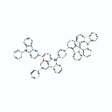 c1ccc(-c2cccc(-c3ccccc3N(c3ccc(-c4ccc5c(c4)c4ccccc4n5-c4ccccc4)cc3)c3ccc(-c4cccc5c4-c4ccccc4C54c5ccccc5-n5c6ccccc6c6cccc4c65)cc3)c2)cc1